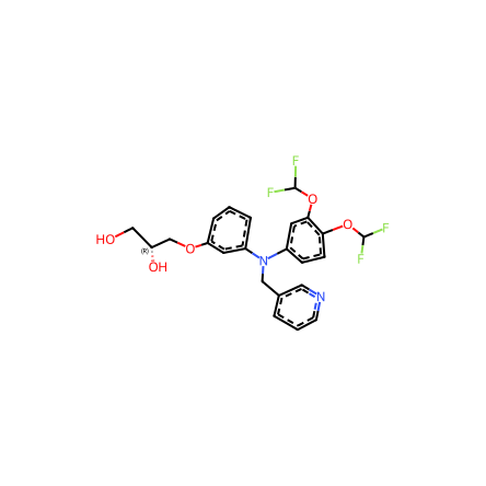 OC[C@@H](O)COc1cccc(N(Cc2cccnc2)c2ccc(OC(F)F)c(OC(F)F)c2)c1